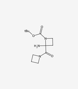 CC(C)(C)OC(=O)N1CCC1(N)C(=O)N1CCC1